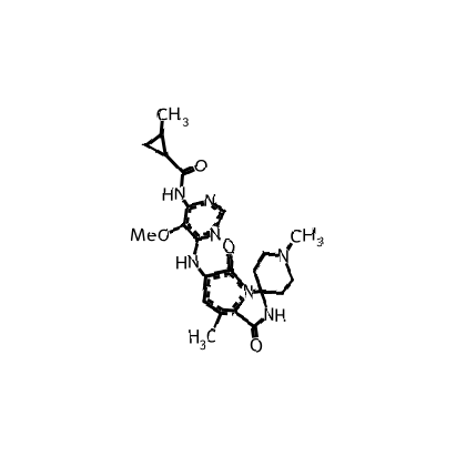 COc1c(NC(=O)C2CC2C)ncnc1Nc1cc(C)c2n(c1=O)C1(CCN(C)CC1)NC2=O